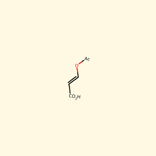 CC(=O)O/C=C/C(=O)O